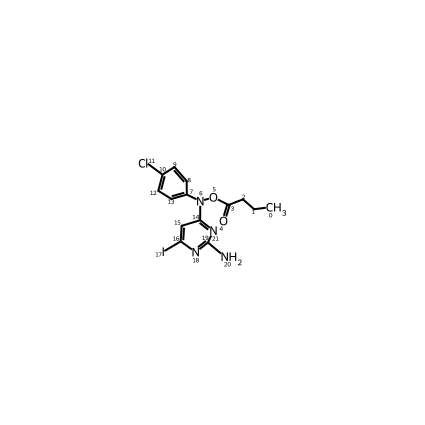 CCCC(=O)ON(c1ccc(Cl)cc1)c1cc(I)nc(N)n1